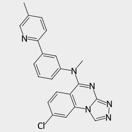 Cc1ccc(-c2cccc(N(C)c3nc4nncn4c4cc(Cl)ccc34)c2)nc1